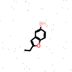 Bc1ccc2oc(CC)cc2c1